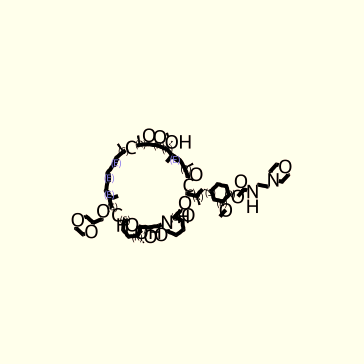 CO[C@@H]1C[C@H](C[C@@H](C)[C@@H]2CC(=O)[C@H](C)/C=C(\C)[C@@H](O)[C@@H](OC)C(=O)[C@H](C)C[C@H](C)/C=C/C=C/C=C(\C)[C@@H](OCC3COCCO3)C[C@@H]3CC[C@@H](C)[C@@](O)(O3)C(=O)C(=O)N3CCCC[C@H]3C(=O)O2)CC[C@H]1OC(=O)NCCN1CCOCC1